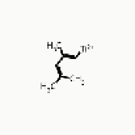 CC(C)=CC(C)=[CH][Ti+2]